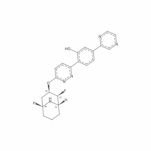 Oc1cc(-c2cnccn2)ccc1-c1ccc(O[C@@H]2C[C@H]3CCC[C@H](N3)[C@@H]2F)nn1